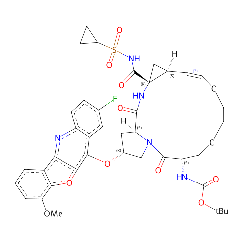 COc1cccc2c1oc1c(O[C@@H]3C[C@H]4C(=O)N[C@]5(C(=O)NS(=O)(=O)C6CC6)C[C@H]5/C=C\CCCCC[C@H](NC(=O)OC(C)(C)C)C(=O)N4C3)c3cc(F)ccc3nc12